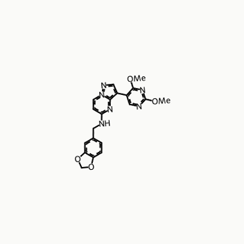 COc1ncc(-c2cnn3ccc(NCc4ccc5c(c4)OCO5)nc23)c(OC)n1